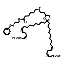 CCCCC/C=C\C/C=C\CCCCCCCCC1(CCCCCCCC/C=C\C/C=C\CCCCC)OCC(CCN(C)CCCCCC(=O)NCCSSc2ccccn2)O1